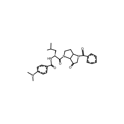 CC(C)C[C@H](NC(=O)c1ccc(N(C)C)cc1)C(=O)N1CCC2C1C(=O)CN2C(=O)c1ccccc1